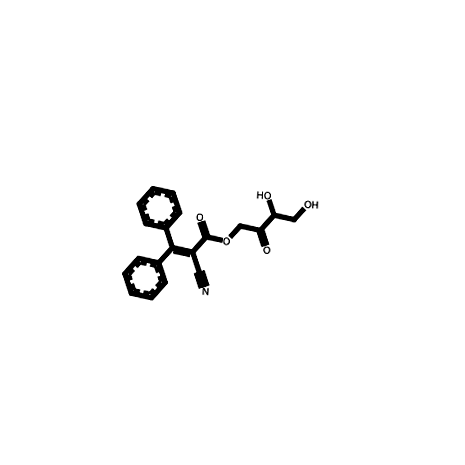 N#CC(C(=O)OCC(=O)C(O)CO)=C(c1ccccc1)c1ccccc1